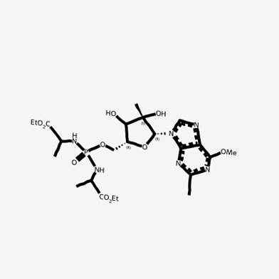 CCOC(=O)C(C)NP(=O)(NC(C)C(=O)OCC)OC[C@H]1O[C@@H](n2cnc3c(OC)nc(C)nc32)[C@@](C)(O)C1O